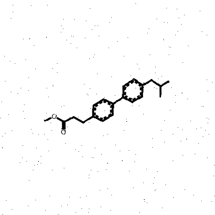 COC(=O)CCc1ccc(-c2ccc(CC(C)C)cc2)cc1